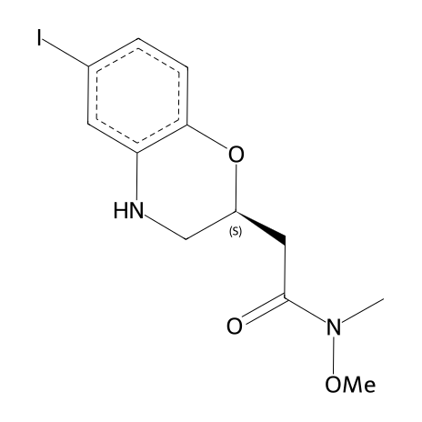 CON(C)C(=O)C[C@H]1CNc2cc(I)ccc2O1